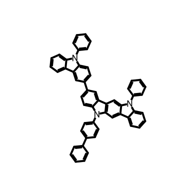 c1ccc(-c2ccc(-n3c4ccc(-c5ccc6c(c5)c5ccccc5n6-c5ccccc5)cc4c4cc5c(cc43)c3ccccc3n5-c3ccccc3)cc2)cc1